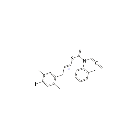 C=C=CN(C(=C)S/C=C/Cc1cc(C)c(I)cc1C)c1ccccc1C